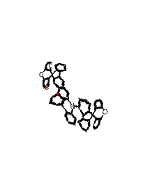 c1ccc(-c2ccccc2N(c2ccc3cc4c(cc3c2)-c2ccccc2C42c3ccccc3Oc3ccccc32)c2cccc3c2-c2ccccc2C32c3ccccc3Oc3ccccc32)cc1